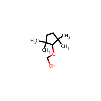 CC1(C)CCC(C)(C)C1OCO